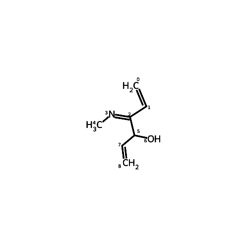 C=CC(=NC)C(O)C=C